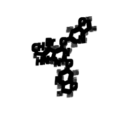 CCc1[nH]c2nc(Oc3cnc4ccoc4c3)nc(Oc3cnc4ccoc4c3)c2c1Br